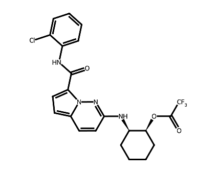 O=C(Nc1ccccc1Cl)c1ccc2ccc(N[C@@H]3CCCC[C@@H]3OC(=O)C(F)(F)F)nn12